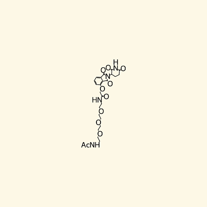 CC(=O)NCCOCCOCCOCCNC(=O)COc1cccc2c1C(=O)N(C1CCC(=O)NC1=O)C2=O